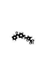 O=C(c1ccccc1)c1ccc(OCc2ccc(C(=O)O)o2)cc1